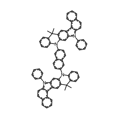 CC1(C)c2ccccc2N(c2ccc3cc(N4c5ccccc5C(C)(C)c5cc6c7c8ccccc8ccc7n(-c7ccccc7)c6cc54)ccc3c2)c2cc3c(cc21)c1c2ccccc2ccc1n3-c1ccccc1